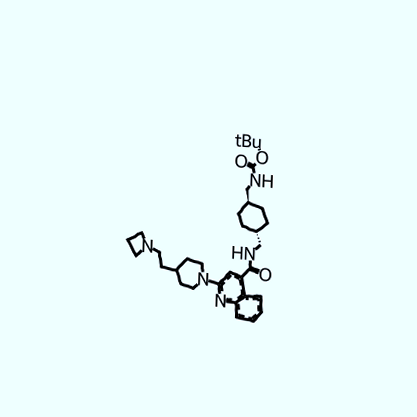 CC(C)(C)OC(=O)NC[C@H]1CC[C@H](CNC(=O)c2cc(N3CCC(CCN4CCC4)CC3)nc3ccccc23)CC1